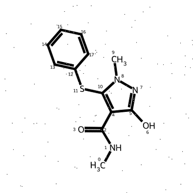 CNC(=O)c1c(O)nn(C)c1Sc1ccccc1